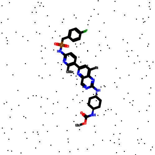 CCc1cc(-c2ccc(NS(=O)(=O)Cc3ccc(F)cc3)nc2OC)nc2cnc(N[C@H]3CC[C@H](NC(=O)OC(C)(C)C)CC3)nc12